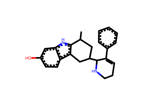 CC1CC(C2NCCC=C2c2ccccc2)Cc2c1[nH]c1cc(O)ccc21